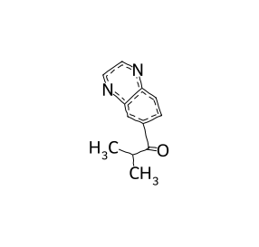 CC(C)C(=O)c1ccc2nccnc2c1